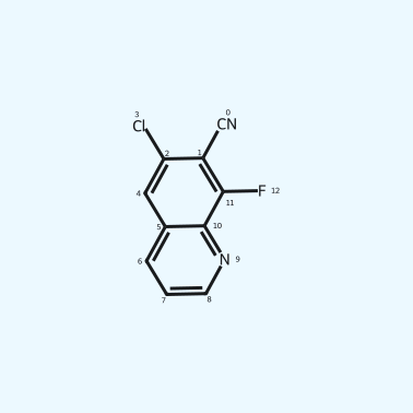 N#Cc1c(Cl)cc2cccnc2c1F